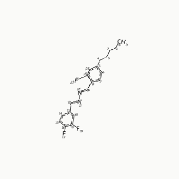 CCCCCc1ccc(C=NN=Cc2ccc(F)c(F)c2)c(F)c1